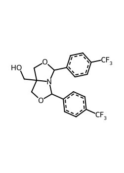 OCC12COC(c3ccc(C(F)(F)F)cc3)N1C(c1ccc(C(F)(F)F)cc1)OC2